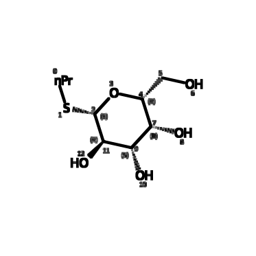 CCCS[C@@H]1O[C@H](CO)[C@H](O)[C@H](O)[C@H]1O